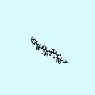 Cc1ncc(C(=O)Nc2cc(C(C)(C)C)on2)cc1N(N)/C=C(\N)c1cncc(NC2CC(N3CCN(C)CC3)C2)c1